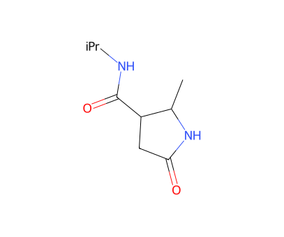 CC(C)NC(=O)C1CC(=O)NC1C